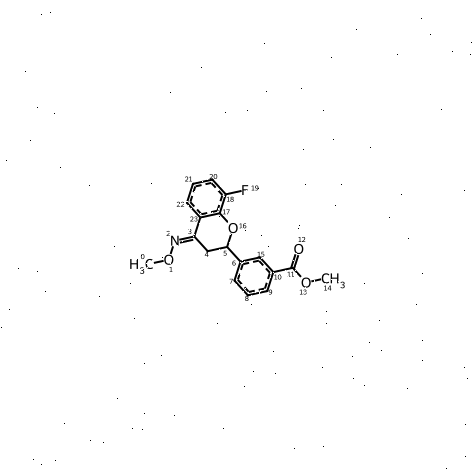 CO/N=C1\CC(c2cccc(C(=O)OC)c2)Oc2c(F)cccc21